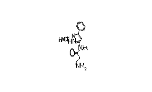 Cl.Cl.NCCC(=O)Nc1cc(-c2ccccc2)n[nH]1